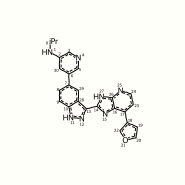 CC(C)Nc1cncc(-c2ccc3[nH]nc(-c4nc5c(-c6ccoc6)ccnc5[nH]4)c3c2)c1